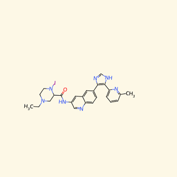 CCN1CCN(I)C(C(=O)Nc2cnc3ccc(-c4nc[nH]c4-c4cccc(C)n4)cc3c2)C1